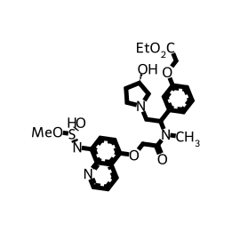 CCOC(=O)COc1cccc(C(CN2CC[C@H](O)C2)N(C)C(=O)COc2ccc(N=[SH](=O)OC)c3ncccc23)c1